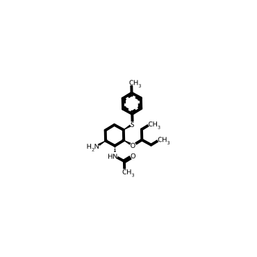 CCC(CC)O[C@H]1[C@H](NC(C)=O)[C@@H](N)CC[C@H]1Sc1ccc(C)cc1